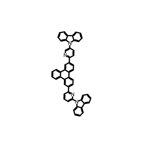 c1cc(-c2ccc3c4ccc(-c5ccc(-n6c7ccccc7c7ccccc76)cn5)cc4c4ccccc4c3c2)nc(-n2c3ccccc3c3ccccc32)c1